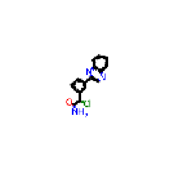 NC(=O)C(Cl)c1cccc(-c2cnc3ccccc3n2)c1